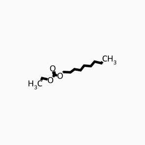 CCCCCCCCCOC(=O)OCC